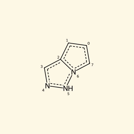 c1cc2cn[nH]n2c1